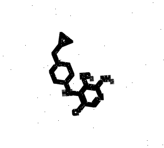 Nc1ncc(Cl)c(NC2CCN(CC3CC3)CC2)c1[N+](=O)[O-]